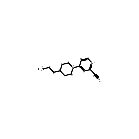 N#Cc1cc(N2CCC(CCN)CC2)ccn1